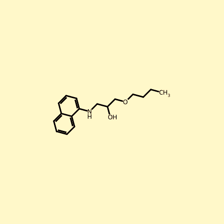 CCCCOCC(O)CNc1cccc2ccccc12